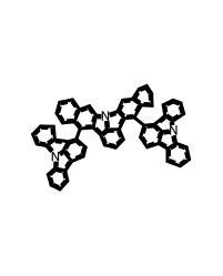 c1ccc2c(-c3ccc4c5ccccc5n5c6ccccc6c3c45)c3c4cccc5c6c(-c7ccc8c9ccccc9n9c%10ccccc%10c7c89)c7ccccc7cc6n(c3cc2c1)c45